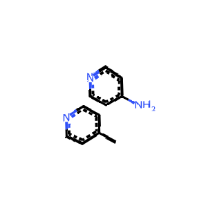 Cc1ccncc1.Nc1ccncc1